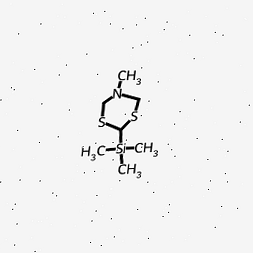 CN1CSC([Si](C)(C)C)SC1